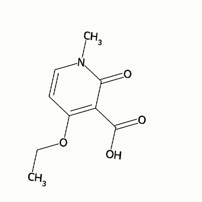 CCOc1ccn(C)c(=O)c1C(=O)O